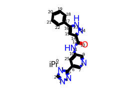 CC(C)n1cnnc1-c1cncc(NC(=O)c2cc(-c3ccccc3)[nH]n2)c1